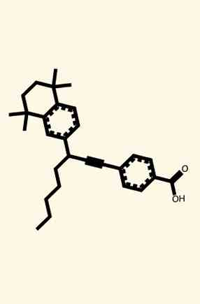 CCCCCC(C#Cc1ccc(C(=O)O)cc1)c1ccc2c(c1)C(C)(C)CCC2(C)C